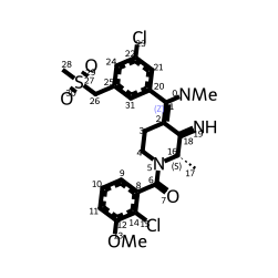 CN/C(=C1/CCN(C(=O)c2cccc(OC)c2Cl)[C@@H](C)C1=N)c1cc(Cl)cc(CS(C)(=O)=O)c1